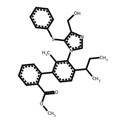 CCC(C)c1ccc(-c2ccccc2C(=O)OC)c(C)c1-n1cnc(CO)c1Sc1ccccc1